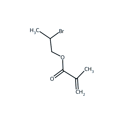 C=C(C)C(=O)OCC(C)Br